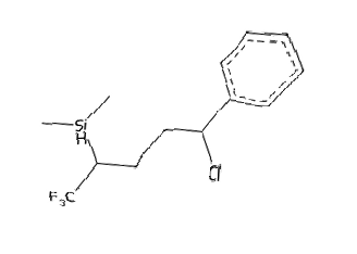 C[SiH](C)C(CCC(Cl)c1ccccc1)C(F)(F)F